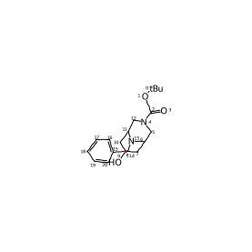 CC(C)(C)OC(=O)N1CC2CC(O)CC(C1)N2Cc1ccccc1